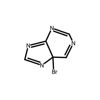 BrC12C=NC=NC1=NC=N2